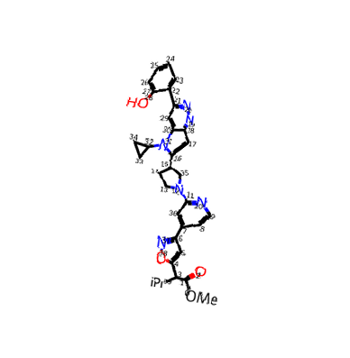 COC(=O)C(c1cc(-c2ccnc(N3CC[C@@H](c4cc5nnc(-c6ccccc6O)cc5n4C4CC4)C3)c2)no1)C(C)C